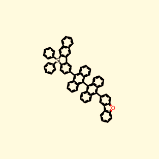 c1ccc([Si]2(c3ccccc3)c3ccc(-c4c5ccccc5c(-c5c6ccccc6c(-c6ccc7oc8ccccc8c7c6)c6ccccc56)c5ccccc45)cc3-c3cc4ccccc4cc32)cc1